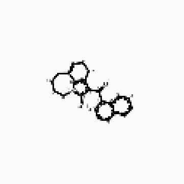 Cc1c(C(=O)c2cccc3ccccc23)c2c3n1CCCCC3=CCC2